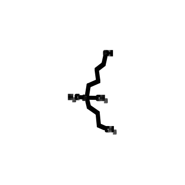 CCCC[Si](C)(C)CCCCO